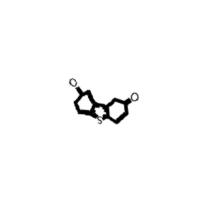 O=C1C=c2c3c(sc2=CC1)C=CC(=O)C3